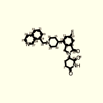 O=C1CCC(N2Cc3c(cc(F)cc3C3CCN(Cc4cccc5ccncc45)CC3)C2=O)C(=O)N1